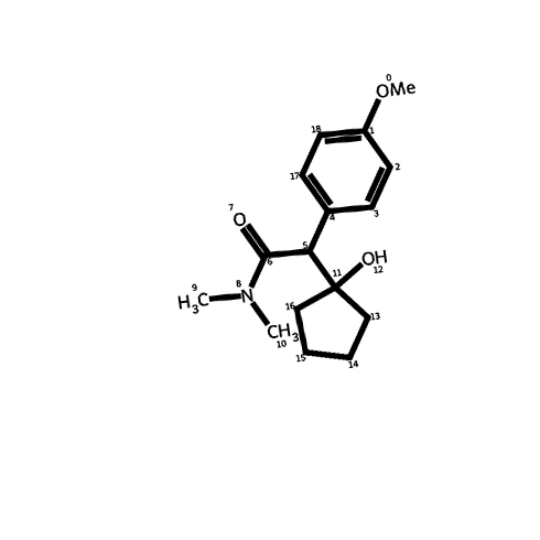 COc1ccc(C(C(=O)N(C)C)C2(O)CCCC2)cc1